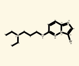 CCN(CC)CCCOc1ccc2ncc(Br)n2n1